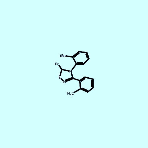 Cc1ccccc1C1=NSC(C(C)C)N1c1ccccc1C(C)(C)C